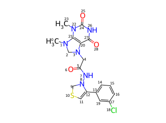 CN1CN(CC(=O)NN2CSC=C2c2cccc(Cl)c2)c2c1n(C)c(=O)[nH]c2=O